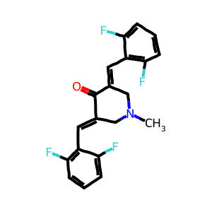 CN1C/C(=C\c2c(F)cccc2F)C(=O)/C(=C/c2c(F)cccc2F)C1